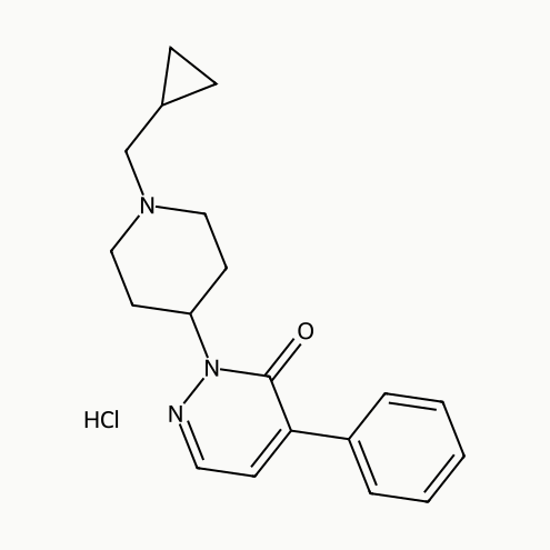 Cl.O=c1c(-c2ccccc2)ccnn1C1CCN(CC2CC2)CC1